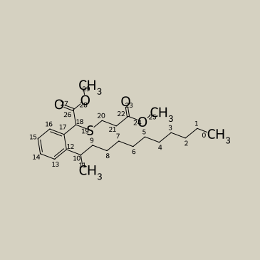 CCCCCCCCCCC(C)c1ccccc1C(SCCC(=O)OC)C(=O)OC